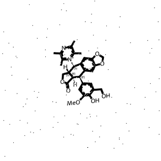 COc1cc([C@@H]2c3cc4c(cc3[C@@H]([n+]3c(C)c(C)nc(C)c3C)[C@H]3COC(=O)[C@H]23)OCO4)cc(CO)c1O